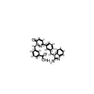 Nc1nc2ccccc2n1Cc1cccc(-c2ccc(=O)n(Cc3cccc(C(=O)O)c3)n2)c1